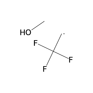 CO.[CH2]C(F)(F)F